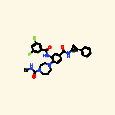 CCNC(=O)N1CCCN(c2ccc(C(=O)N[C@H]3C[C@@H]3c3ccccc3)cc2NC(=O)c2cc(F)cc(F)c2)CC1